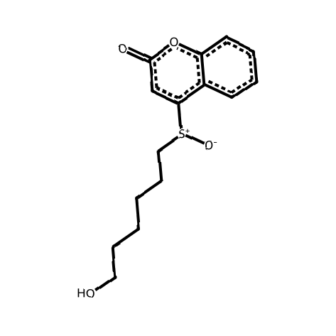 O=c1cc([S+]([O-])CCCCCCO)c2ccccc2o1